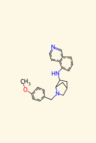 COc1ccc(CN2CC3CC(Nc4cccc5cnccc45)C2C3)cc1